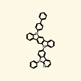 c1ccc(-c2ccc(-n3c4ccccc4c4cc5c(cc43)c3ccccc3n5-c3ccc4c(c3)c3cccnc3n4-c3ccccc3)cc2)cc1